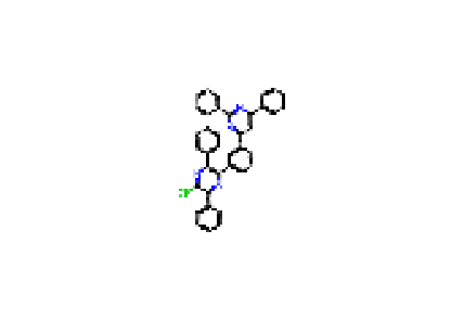 Clc1nc(-c2ccccc2)c(-c2cccc(-c3cc(-c4ccccc4)nc(-c4ccccc4)n3)c2)nc1-c1ccccc1